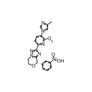 COc1nc(-c2nc3n(n2)CCO[C@H]3c2cccc([N+](=O)O)c2)ccc1-n1cnc(C)c1